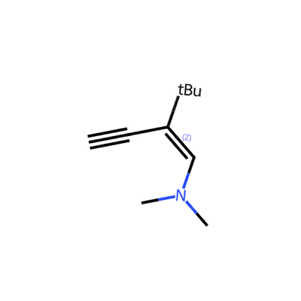 C#C/C(=C\N(C)C)C(C)(C)C